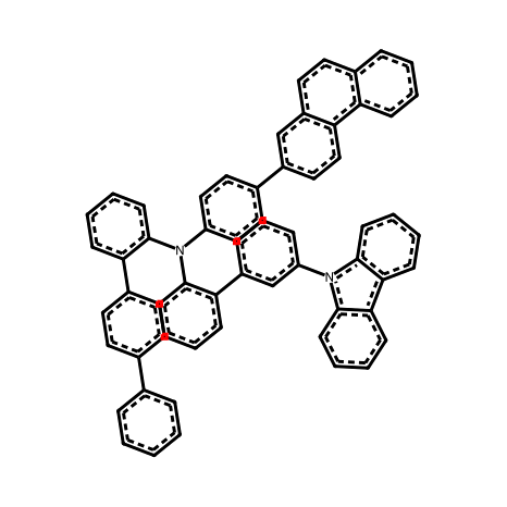 c1ccc(-c2ccc(-c3ccccc3N(c3ccc(-c4ccc5c(ccc6ccccc65)c4)cc3)c3ccccc3-c3cccc(-n4c5ccccc5c5ccccc54)c3)cc2)cc1